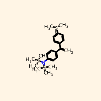 C=C(c1ccc(N([Si](C)(C)C)[Si](C)(C)C)cc1)c1ccc([SiH](C)C)cc1